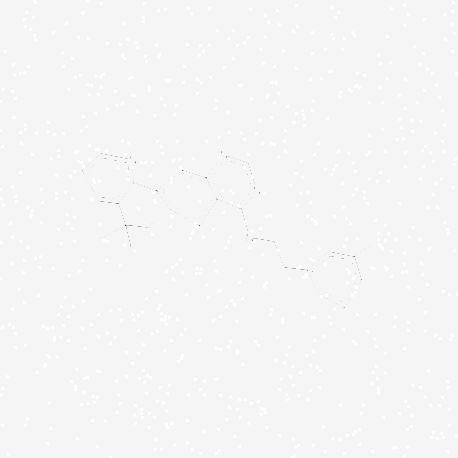 Fc1cccc(CCNc2ncnc3cc(-c4ncccc4C(F)(F)F)ccc23)c1